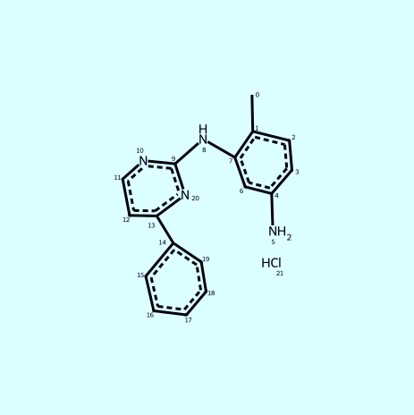 Cc1ccc(N)cc1Nc1nccc(-c2ccccc2)n1.Cl